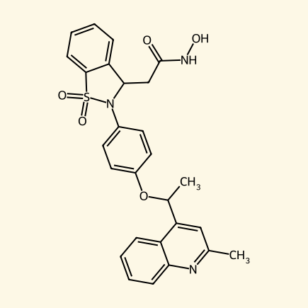 Cc1cc(C(C)Oc2ccc(N3C(CC(=O)NO)c4ccccc4S3(=O)=O)cc2)c2ccccc2n1